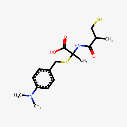 CC(CS)C(=O)NC(C)(SCc1ccc(N(C)C)cc1)C(=O)O